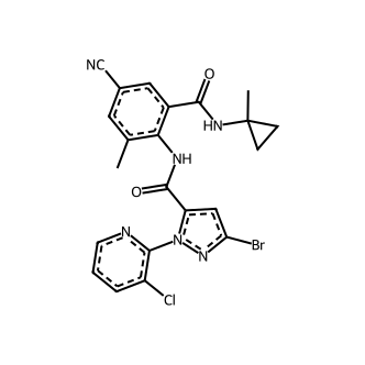 Cc1cc(C#N)cc(C(=O)NC2(C)CC2)c1NC(=O)c1cc(Br)nn1-c1ncccc1Cl